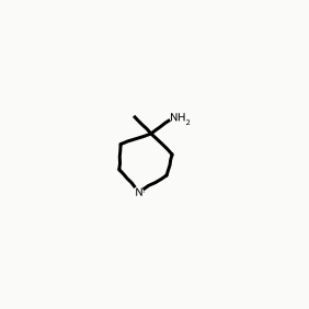 CC1(N)CC[N]CC1